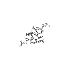 COc1ccc(-c2c[nH]c3c(OCC4CC4)ccc(C)c3c2=O)c(F)c1